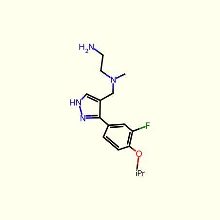 CC(C)Oc1ccc(-c2n[nH]cc2CN(C)CCN)cc1F